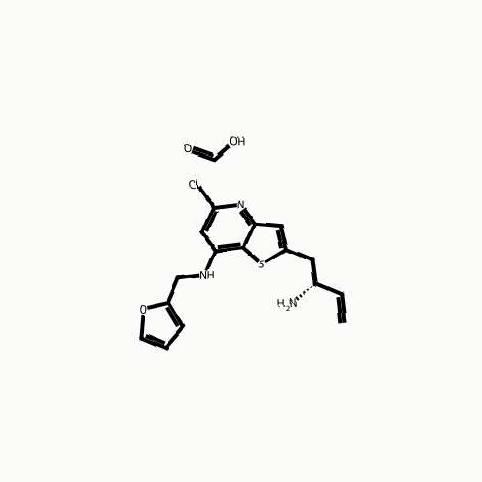 C=C[C@H](N)Cc1cc2nc(Cl)cc(NCc3ccco3)c2s1.O=CO